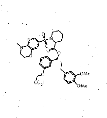 COc1ccc(CC[C@@H](OC(=O)C2CCCCN2S(=O)(=O)c2cnc3c(c2)OCCN3C)c2cccc(OCC(=O)O)c2)cc1OC